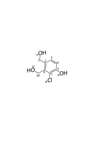 OCc1ccc(O)c(Cl)c1CO